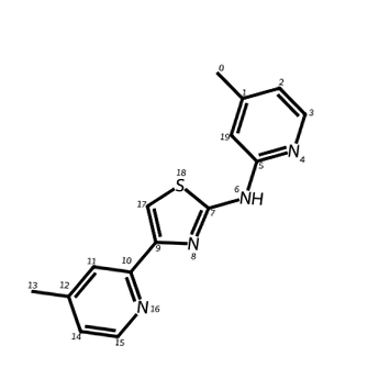 Cc1ccnc(Nc2nc(-c3cc(C)ccn3)cs2)c1